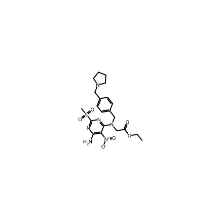 CCOC(=O)CN(Cc1ccc(CN2CCCC2)cc1)c1nc(S(C)(=O)=O)nc(N)c1[N+](=O)[O-]